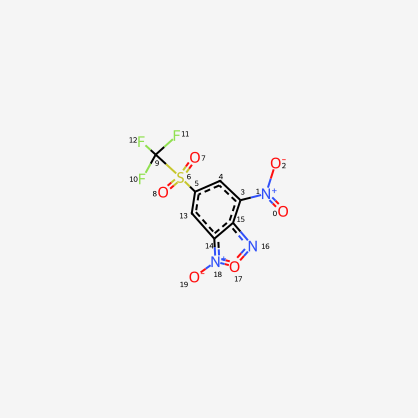 O=[N+]([O-])c1cc(S(=O)(=O)C(F)(F)F)cc2c1no[n+]2[O-]